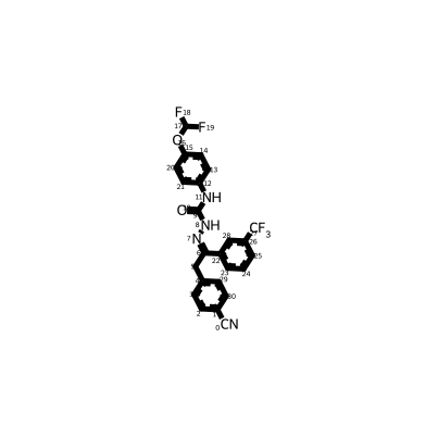 N#Cc1ccc(C/C(=N/NC(=O)Nc2ccc(OC(F)F)cc2)c2cccc(C(F)(F)F)c2)cc1